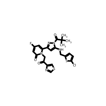 CC(C)(C)C(=O)n1nc(-c2cc(F)cc(=O)n2CC(=O)c2cscn2)cc1NCc1ccc(Cl)s1